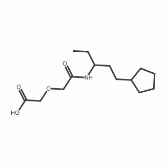 CCC(CCC1CCCC1)NC(=O)COCC(=O)O